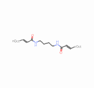 CCCCCCCCC=CC(=O)NCCCCNC(=O)C=CCCCCCCCC